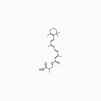 CC(C=CC1=C(C)CCCC1(C)C)=CC=CC(C)=CC(=O)OCC(C)C(=O)O